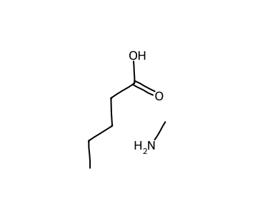 CCCCC(=O)O.CN